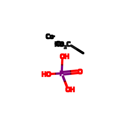 CC(=O)O.O=P(O)(O)O.[Co].[Co]